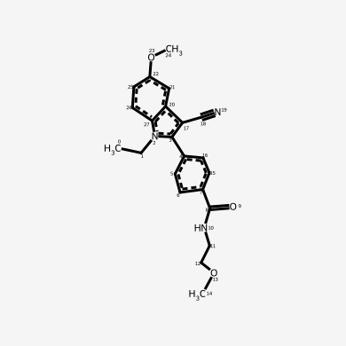 CCn1c(-c2ccc(C(=O)NCCOC)cc2)c(C#N)c2cc(OC)ccc21